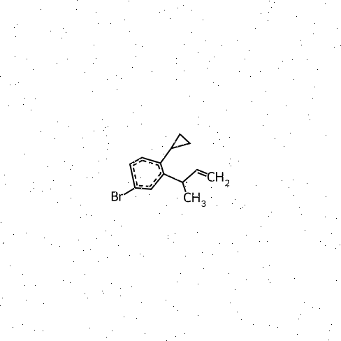 C=C[C](C)c1cc(Br)ccc1C1CC1